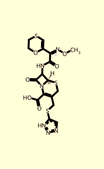 CO/N=C(\C(=O)NC1C(=O)N2C(C(=O)O)=C(CSc3cnn[nH]3)CS[C@H]12)C1=CSCCO1